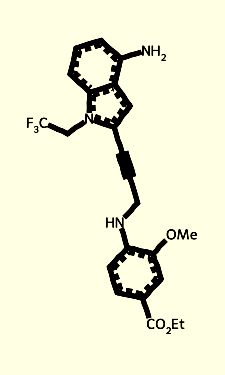 CCOC(=O)c1ccc(NCC#Cc2cc3c(N)cccc3n2CC(F)(F)F)c(OC)c1